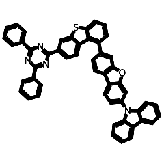 c1ccc(-c2nc(-c3ccccc3)nc(-c3ccc4c(c3)sc3cccc(-c5ccc6c(c5)oc5cc(-n7c8ccccc8c8ccccc87)ccc56)c34)n2)cc1